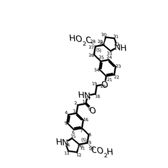 O=C(Cc1cccc(C[C@H](C(=O)O)[C@H]2CCNC2)c1)NCCOc1cccc(C[C@H](C(=O)O)[C@H]2CCNC2)c1